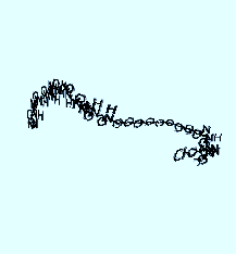 Cc1sc2c(c1C)C(c1ccc(Cl)cc1)=N[C@@H](CC(=O)Nc1cncc(OCCOCCOCCOCCOCCOCCOCCOCCOCCNC(=O)CCNC(=O)c3nc(NC(=O)CCNC(=O)c4cc(NC(=O)c5nc(NC(=O)CCNC(=O)c6cc(NC(=O)c7nccn7C)cn6C)cn5C)cn4C)cn3C)c1)c1nnc(C)n1-2